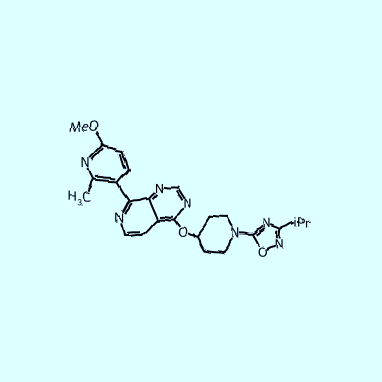 COc1ccc(-c2nccc3c(OC4CCN(c5nc(C(C)C)no5)CC4)ncnc23)c(C)n1